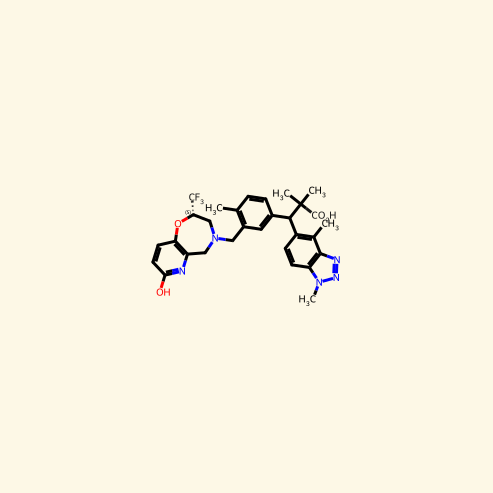 Cc1ccc(C(c2ccc3c(nnn3C)c2C)C(C)(C)C(=O)O)cc1CN1Cc2nc(O)ccc2O[C@H](C(F)(F)F)C1